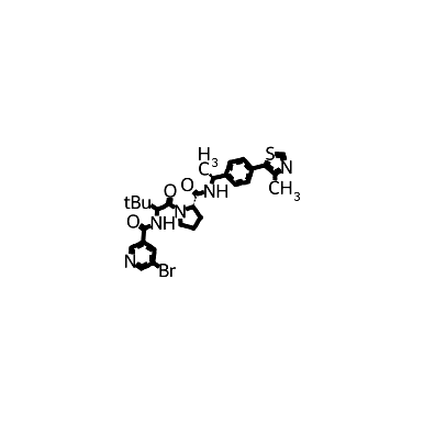 Cc1ncsc1-c1ccc([C@H](C)NC(=O)[C@@H]2CCCN2C(=O)C(NC(=O)c2cncc(Br)c2)C(C)(C)C)cc1